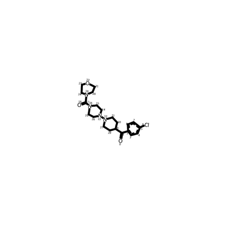 O=C(c1ccc(Cl)cc1)C1CCN(N2CCN(C(=O)N3CCOCC3)CC2)CC1